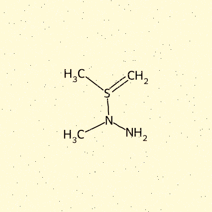 C=S(C)N(C)N